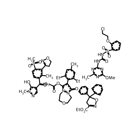 CCOC(=O)C1=NOC(c2ccccc2)(c2ccccc2)C1.CCc1cc(C)cc(CC)c1-c1c(OC(=O)C(C)(C)C)n2n(c1=O)CCOCC2.COc1nc(C)nc(NC(=O)NS(=O)(=O)c2ccccc2OCCCl)n1.Cc1c(C(=O)c2cnn(C)c2O)ccc(S(C)(=O)=O)c1C1=NOCC1